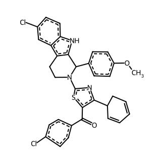 COc1ccc(C2c3[nH]c4ccc(Cl)cc4c3CCN2c2nc(C3C=CC=CC3)c(C(=O)c3ccc(Cl)cc3)s2)cc1